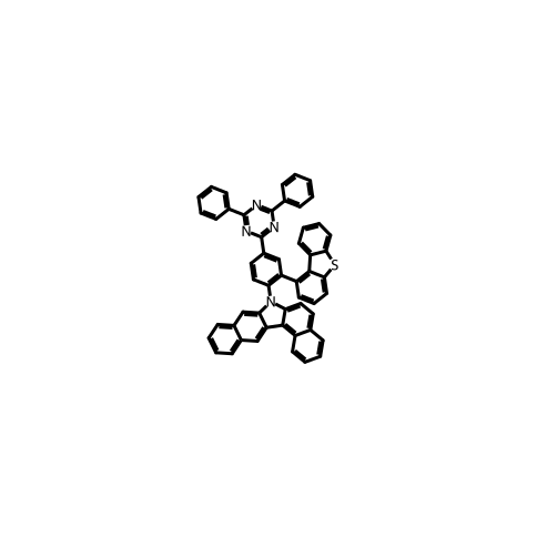 c1ccc(-c2nc(-c3ccccc3)nc(-c3ccc(-n4c5cc6ccccc6cc5c5c6ccccc6ccc54)c(-c4cccc5sc6ccccc6c45)c3)n2)cc1